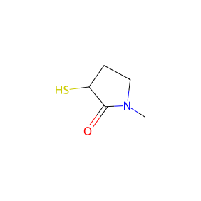 CN1CCC(S)C1=O